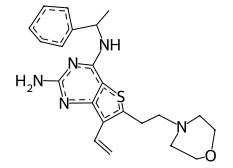 C=Cc1c(CCN2CCOCC2)sc2c(NC(C)c3ccccc3)nc(N)nc12